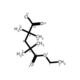 CCOC(=O)C(C)(C)CC(C)(C)C(=O)Cl